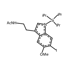 COc1cc2c(CCNC(C)=O)cn([Si](C(C)C)(C(C)C)C(C)C)c2cc1I